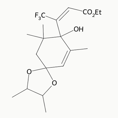 CCOC(=O)/C=C(/C(F)(F)F)C1(O)C(C)=CC2(CC1(C)C)OC(C)C(C)O2